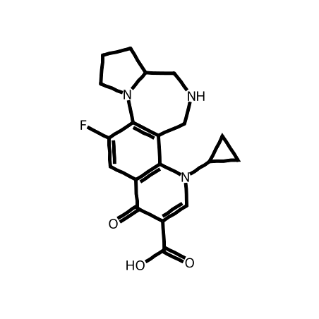 O=C(O)c1cn(C2CC2)c2c3c(c(F)cc2c1=O)N1CCCC1CNC3